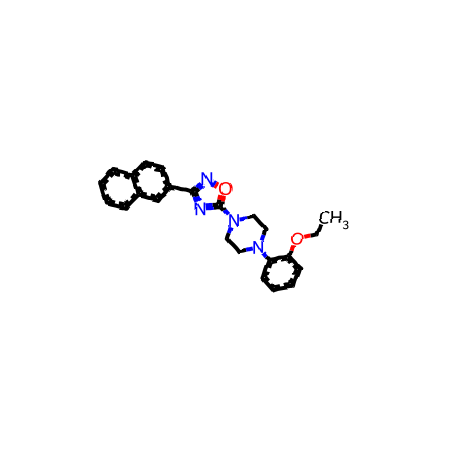 CCOc1ccccc1N1CCN(c2nc(-c3ccc4ccccc4c3)no2)CC1